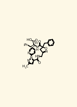 Cc1cc(C(=O)NCC2=NOC(Cc3ccccc3)(C(=O)N[C@@H](CC(C)C)B(O)O)C2)n(-c2ccccn2)n1